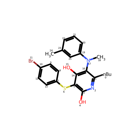 CCCCc1nc(O)c(Sc2ccc(Br)cc2)c(O)c1N(C)c1cccc(C)c1